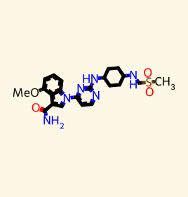 COc1cccc2c1c(C(N)=O)cn2-c1ccnc(NC2CCC(NCS(C)(=O)=O)CC2)n1